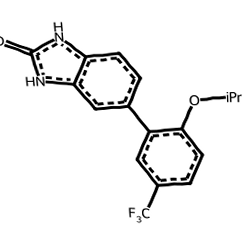 CC(C)Oc1ccc(C(F)(F)F)cc1-c1ccc2[nH]c(=O)[nH]c2c1